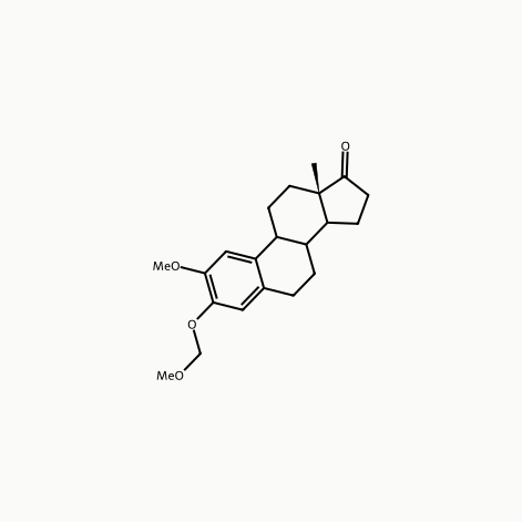 COCOc1cc2c(cc1OC)C1CC[C@]3(C)C(=O)CCC3C1CC2